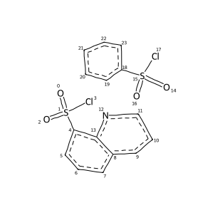 O=S(=O)(Cl)c1cccc2cccnc12.O=S(=O)(Cl)c1ccccc1